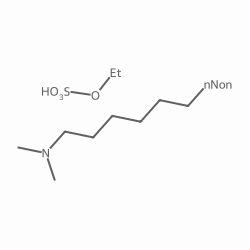 CCCCCCCCCCCCCCCN(C)C.CCOS(=O)(=O)O